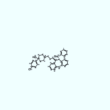 O=Cc1ccccc1-c1cccc2c1C/C(=C/CCN1CCC(O)(c3ccc(Cl)cc3)CC1)c1cccnc1O2